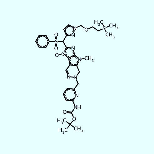 Cn1c2c(c3c1nc(C(c1ccn(COCC[Si](C)(C)C)n1)S(=O)(=O)c1ccccc1)[s+]3[O-])C=NN(Cc1cccc(NC(=O)OC(C)(C)C)n1)C2